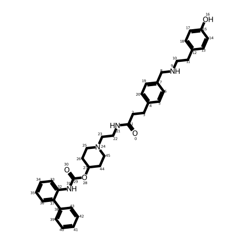 O=C(CCc1ccc(CNCCc2ccc(O)cc2)cc1)NCCN1CCC(OC(=O)Nc2ccccc2-c2ccccc2)CC1